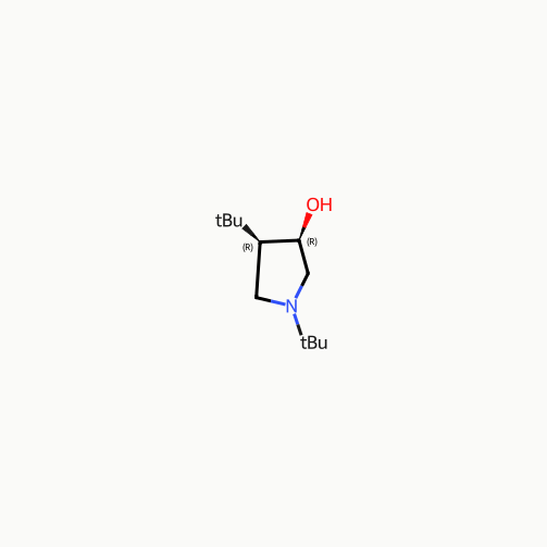 CC(C)(C)[C@@H]1CN(C(C)(C)C)C[C@@H]1O